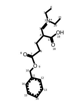 CC[N+](=CC(CCC(=O)OCc1ccccc1)C(=O)O)CC